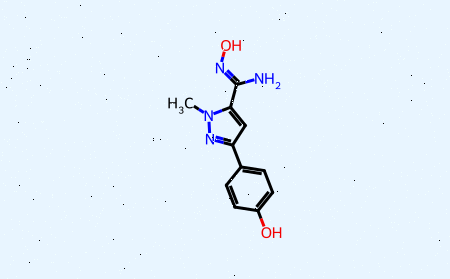 Cn1nc(-c2ccc(O)cc2)cc1C(N)=NO